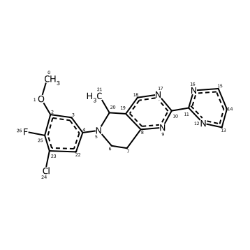 COc1cc(N2CCc3nc(-c4ncccn4)ncc3C2C)cc(Cl)c1F